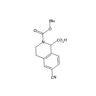 CC(C)(C)OC(=O)N1CCc2cc(C#N)ccc2C1C(=O)O